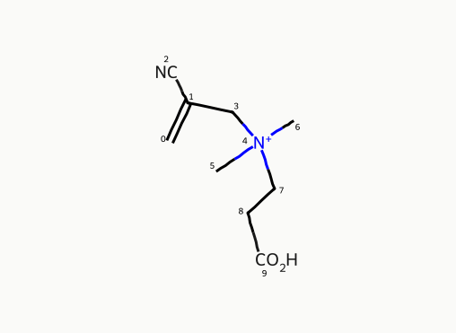 C=C(C#N)C[N+](C)(C)CCC(=O)O